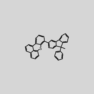 CC1(c2ccccc2)c2ccccc2-c2cc(-c3cccc4c3Sc3cccc5cccc-4c35)ccc21